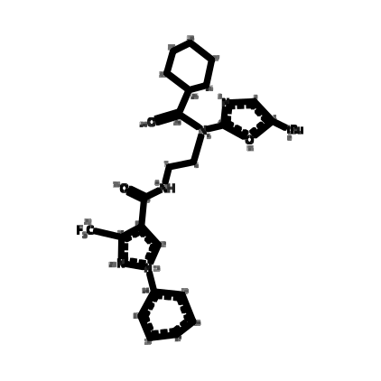 CC(C)(C)c1cnc(N(CCNC(=O)c2cn(-c3ccccc3)nc2C(F)(F)F)C(=O)C2CCCCC2)o1